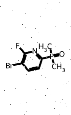 CP(C)(=O)c1ccc(Br)c(F)n1